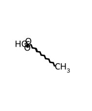 CCCCCCCCCC=CCCS(=O)(=O)O